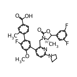 COc1cc(F)c(-c2ccc(C(=O)O)cc2C)cc1-c1ccc(N2CCC2)nc1CN1C(=O)OC(c2cc(F)cc(F)c2)[C@@H]1C